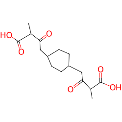 CC(C(=O)O)C(=O)CC1CCC(CC(=O)C(C)C(=O)O)CC1